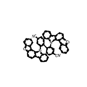 N#Cc1ccc(-c2ccc(C#N)cc2-n2c3ccccc3c3ccc4oc5ccccc5c4c32)c(-n2c3ccccc3c3ccc4oc5ccccc5c4c32)c1